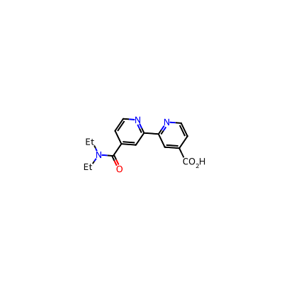 CCN(CC)C(=O)c1ccnc(-c2cc(C(=O)O)ccn2)c1